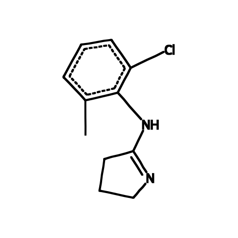 Cc1cccc(Cl)c1NC1=NCCC1